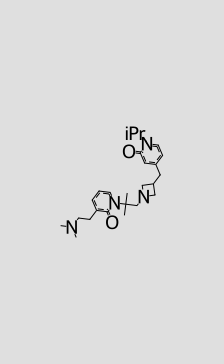 CC(C)n1ccc(CC2CN(CC(C)(C)n3cccc(CCN(C)C)c3=O)C2)cc1=O